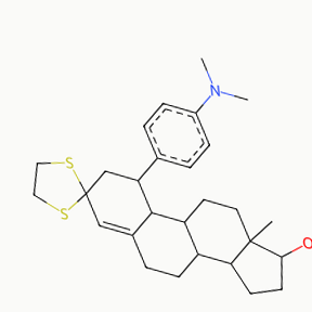 CN(C)c1ccc(C2CC3(C=C4CCC5C(CCC6(C)C(O)CCC56)C42)SCCS3)cc1